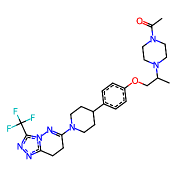 CC(=O)N1CCN(C(C)COc2ccc(C3CCN(C4=Nn5c(nnc5C(F)(F)F)CC4)CC3)cc2)CC1